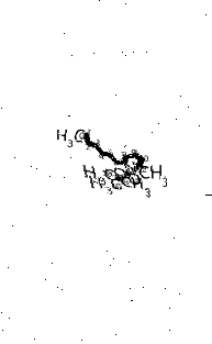 CCCCCCCC1CCCC(C)N1C(=O)OC(C)(C)C